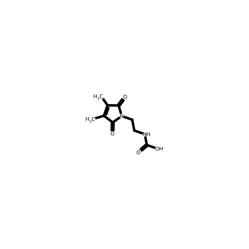 CC1=C(C)C(=O)N(CCNC(=O)O)C1=O